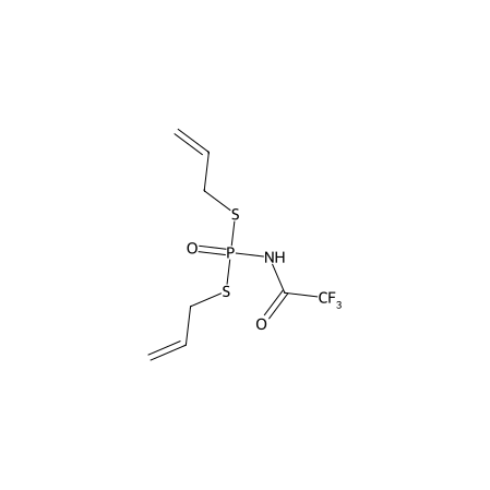 C=CCSP(=O)(NC(=O)C(F)(F)F)SCC=C